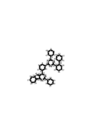 c1ccc(-c2nc(-c3cccc(-c4nc(-c5ccccc5)nc5c4sc4ccccc45)c3)nc(-c3ccccc3-c3ccccc3)n2)cc1